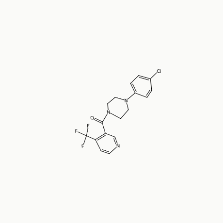 O=C(c1cnccc1C(F)(F)F)N1CCN(c2ccc(Cl)cc2)CC1